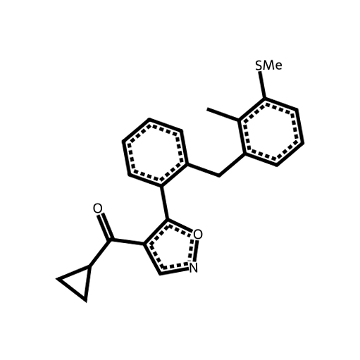 CSc1cccc(Cc2ccccc2-c2oncc2C(=O)C2CC2)c1C